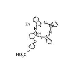 O=C(O)CCc1ccc(Oc2cccc3c4nc5nc(nc6[nH]c(nc7nc(nc([nH]4)c23)-c2ccccc2-7)c2ccccc62)-c2ccccc2-5)cc1.[Zn]